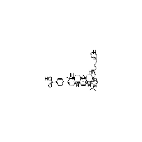 C=C(C)[C@@H]1CC[C@]2(CNCCCn3ccnc3)CC[C@]3(C)[C@H](CC[C@@H]4[C@@]5(C)CC=C(c6ccc(C(=O)O)cc6)C(C)(C)[C@@H]5CC[C@]43C)[C@@H]12